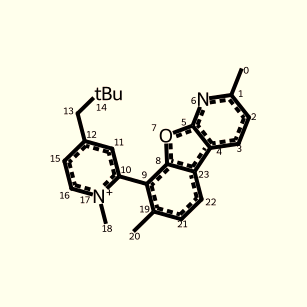 Cc1ccc2c(n1)oc1c(-c3cc(CC(C)(C)C)cc[n+]3C)c(C)ccc12